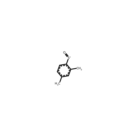 Cc1ccc([S+]=O)c(C)c1